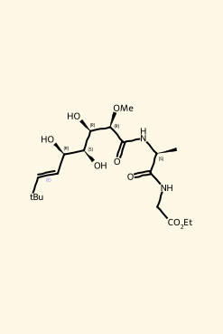 CCOC(=O)CNC(=O)[C@H](C)NC(=O)[C@H](OC)[C@H](O)[C@@H](O)[C@H](O)/C=C/C(C)(C)C